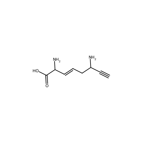 C#CC(N)CC=CC(N)C(=O)O